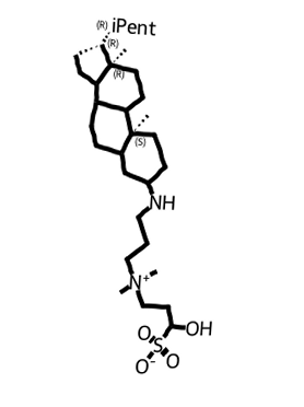 CCC[C@@H](C)[C@H]1CCC2C3CCC4CC(NCCC[N+](C)(C)CCC(O)S(=O)(=O)[O-])CC[C@]4(C)C3CC[C@@]21C